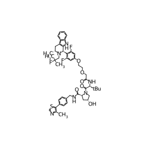 Cc1ncsc1-c1ccc(CNC(=O)[C@@H]2C[C@@H](O)CN2C(=O)[C@@H](NC(=O)COCCOc2cc(F)c([C@@H]3c4[nH]c5ccccc5c4C[C@@H](C)N3CC(C)(C)F)c(F)c2)C(C)(C)C)cc1